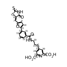 O=C1NC(=S)S/C1=C/c1ccc(-c2cccc(C(=O)NCCSc3cc(C(=O)O)nc(C(=O)O)c3)c2)o1